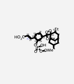 CCC1CC2CC(C)CC(C2)C12OOC2(OC)c1ccc(/C=C/C(=O)O)c(OP(=O)(O)OOC)c1